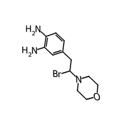 Nc1ccc(CC(Br)N2CCOCC2)cc1N